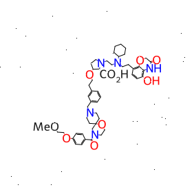 COCCOc1ccc(C(=O)N2CCOC3(CCN(Cc4cccc(CCOC5CCN(CCN(CCc6ccc(O)c7c6OCC(=O)N7)C6CCCCC6)[C@@H]5C(=O)O)c4)CC3)C2)cc1